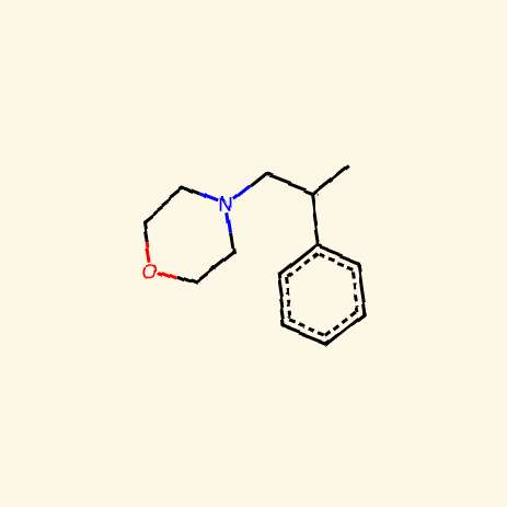 C[C](CN1CCOCC1)c1ccccc1